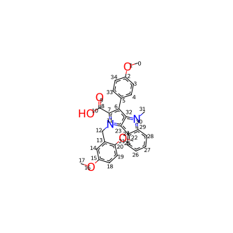 COc1ccc(-c2c(C(=O)O)n(Cc3cc(OC)ccc3OC)c3c4ccccc4n(C)c23)cc1